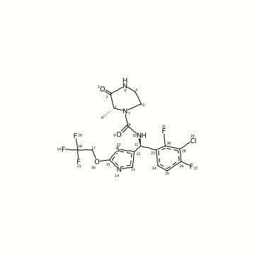 C[C@@H]1C(=O)NCCN1C(=O)N[C@H](c1cnc(OCC(F)(F)F)s1)c1ccc(F)c(Cl)c1F